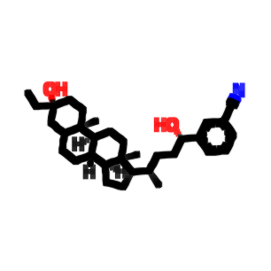 CC[C@]1(O)CC[C@@]2(C)C(CC[C@H]3[C@@H]4CC[C@H]([C@H](C)CC[C@H](O)c5cccc(C#N)c5)[C@@]4(C)CC[C@@H]32)C1